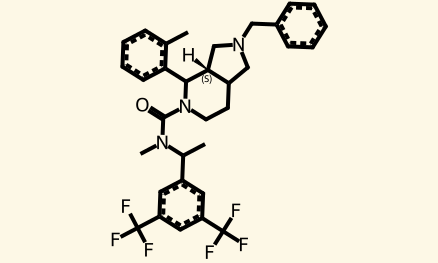 Cc1ccccc1C1[C@@H]2CN(Cc3ccccc3)CC2CCN1C(=O)N(C)C(C)c1cc(C(F)(F)F)cc(C(F)(F)F)c1